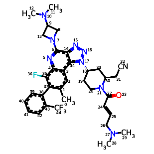 Cc1cc2c(nc(N3CC(N(C)C)C3)c3nnn([C@H]4CCN(C(=O)/C=C/CN(C)C)[C@H](CC#N)C4)c32)c(F)c1-c1ccccc1C(F)(F)F